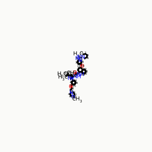 CC1CCCCN1c1nnc2ccc(O[C@@H]3CC[C@H](NC(=O)Nc4cc(C(C)(C)C)nn4-c4cccc(OCCN5CCN(C)CC5)c4)c4ccccc43)cn12